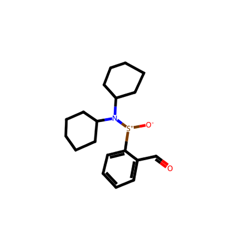 O=Cc1ccccc1[S+]([O-])N(C1CCCCC1)C1CCCCC1